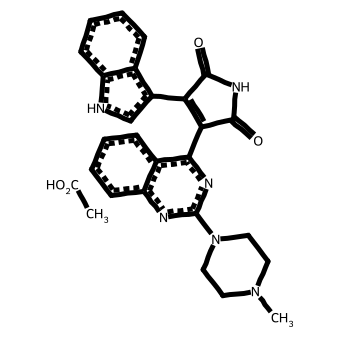 CC(=O)O.CN1CCN(c2nc(C3=C(c4c[nH]c5ccccc45)C(=O)NC3=O)c3ccccc3n2)CC1